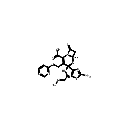 Nc1nc(C2(NC(=O)/C=N/O)S[C@@H]3CC(=O)N3C(C(=O)O)=C2CSc2ccncn2)cs1